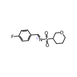 O=S(=O)(/N=C/c1ccc(F)cc1)C1CCCOC1